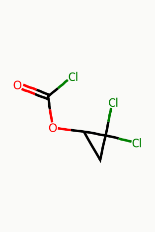 O=C(Cl)OC1CC1(Cl)Cl